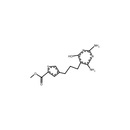 COC(=O)c1cc(CCCc2c(N)nc(N)nc2O)cs1